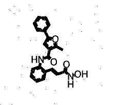 Cc1oc(-c2ccccc2)cc1C(=O)Nc1ccccc1/C=C/C(=O)NO